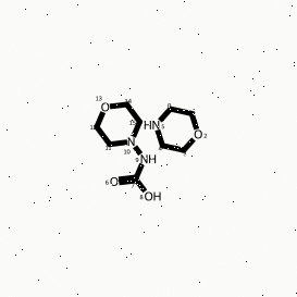 C1COCCN1.O=C(O)NN1CCOCC1